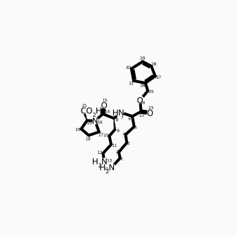 NCCCCCC(N[C@@H](CCCCN)C(=O)N1CCC[C@H]1C(=O)O)C(=O)OCc1ccccc1